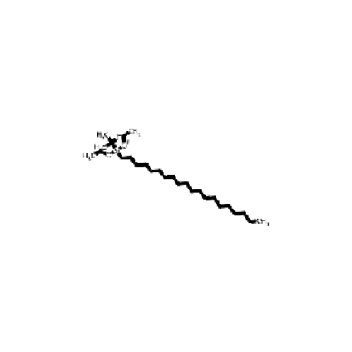 CCCCCCCCCCCCCCCCCCCC[Si](OCC)(OCC)C(C)(C)C